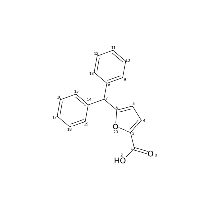 O=C(O)c1ccc(C(c2ccccc2)c2ccccc2)o1